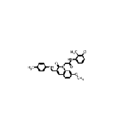 COc1ccc2cc(CNc3ccc(C)cc3)c(=O)n(CC(=O)Nc3cccc(Cl)c3C)c2c1